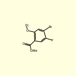 CCOc1cc(Br)c(F)cc1C(=O)OC